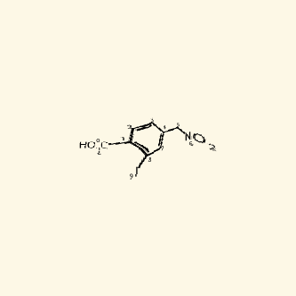 O=C(O)c1ccc(C[N+](=O)[O-])cc1I